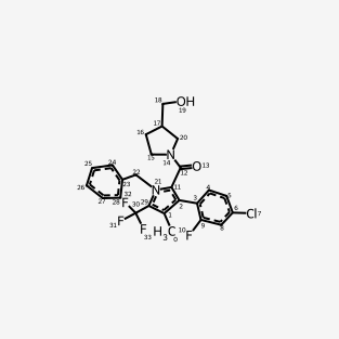 Cc1c(-c2ccc(Cl)cc2F)c(C(=O)N2CCC(CO)C2)n(Cc2ccccc2)c1C(F)(F)F